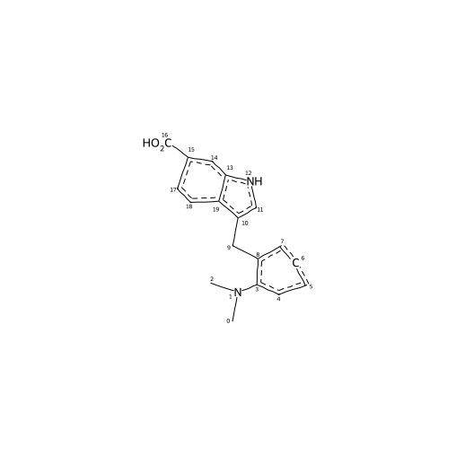 CN(C)c1ccccc1Cc1c[nH]c2cc(C(=O)O)ccc12